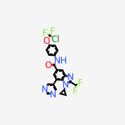 O=C(Nc1ccc(OC(F)(F)Cl)cc1)c1cc(-c2cncnc2)c2c(c1)nc(C(F)F)n2C1CC1